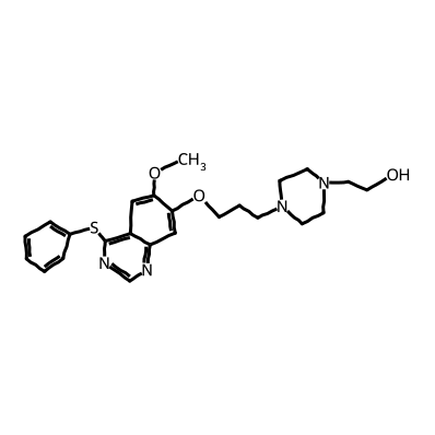 COc1cc2c(Sc3ccccc3)ncnc2cc1OCCCN1CCN(CCO)CC1